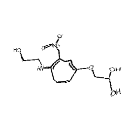 O=[N+]([O-])c1cc(OCC(O)O)ccc1NCCO